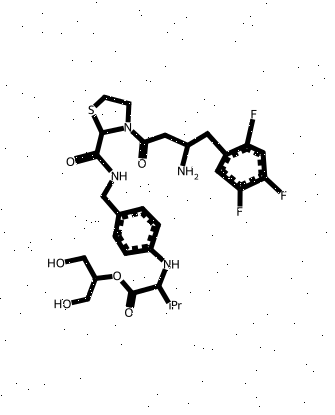 CC(C)C(Nc1ccc(CNC(=O)C2SCCN2C(=O)CC(N)Cc2cc(F)c(F)cc2F)cc1)C(=O)OC(CO)CO